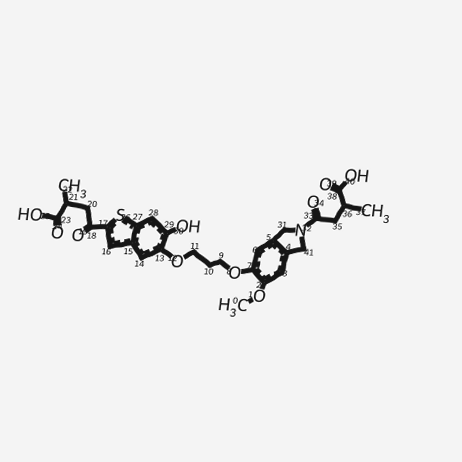 COc1cc2c(cc1OCCCOc1cc3cc(C(=O)CC(C)C(=O)O)sc3cc1O)CN(C(=O)CC(C)C(=O)O)C2